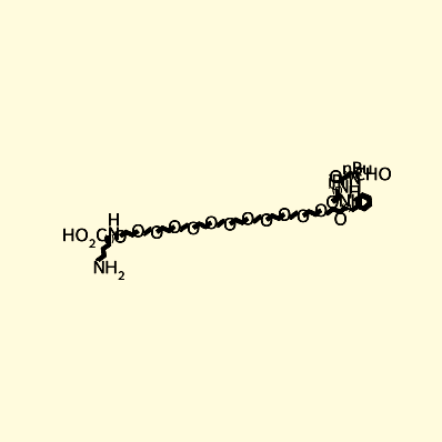 CCCC[C@H](NC=O)C(=O)N[C@@H](CC(C)C)C(=O)N[C@@H](Cc1ccccc1)C(=O)CCOCCOCCOCCOCCOCCOCCOCCOCCOCCOCCOCCON[C@@H](CCCCN)C(=O)O